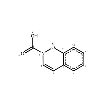 O=C(O)N1C=Cc2ccccc2O1